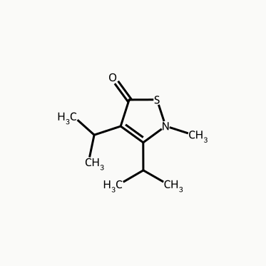 CC(C)c1c(C(C)C)n(C)sc1=O